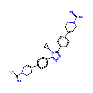 N=C(N)N1CC=C(c2ccc(-c3nnc(-c4ccc(C5=CCN(C(=N)N)CC5)cc4)n3C3CC3)cc2)CC1